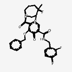 CC1(F)CCCN2CC1n1cc(C(=O)NCc3ccc(F)cc3F)c(=O)c(OCc3ccccc3)c1C2=O